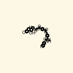 CN(C)C(C(=O)Nc1ccc2cnccc2c1)c1ccc(COC(=O)c2ccc(C(=O)OCC(=O)[C@H]3CCC4[C@@H]5CCC6=CC(=O)C=C[C@]6(C)C5[C@@H](O)C[C@@]43C)cc2)cc1